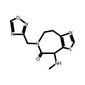 CNC1C(=O)N(Cc2ncon2)CCc2ncsc21